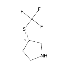 FC(F)(F)S[C@H]1CCNC1